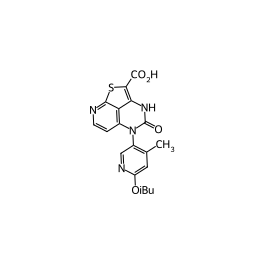 Cc1cc(OCC(C)C)ncc1N1C(=O)Nc2c(C(=O)O)sc3nccc1c23